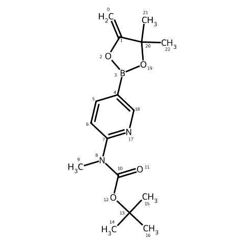 C=C1OB(c2ccc(N(C)C(=O)OC(C)(C)C)nc2)OC1(C)C